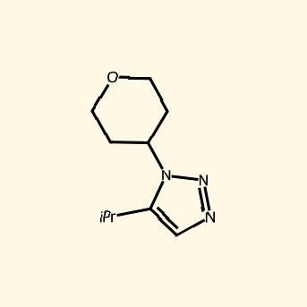 CC(C)c1cnnn1C1CCOCC1